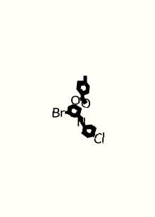 Cc1ccc(C(=O)Oc2cc(Br)cc(C=Nc3ccc(Cl)cc3)c2)cc1